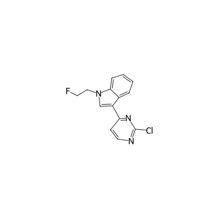 FCCn1cc(-c2ccnc(Cl)n2)c2ccccc21